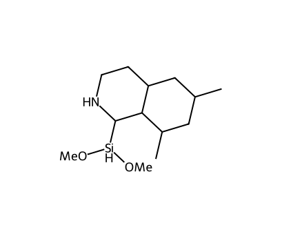 CO[SiH](OC)C1NCCC2CC(C)CC(C)C21